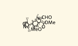 COC(=O)c1c(C=O)n(C)c2cc(-c3c(C)noc3C)c(OC)cc12